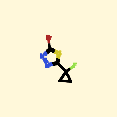 FC1(c2nnc(Br)s2)CC1